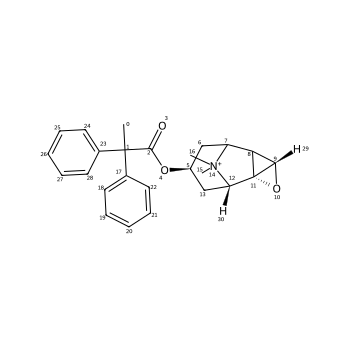 CC(C(=O)O[C@H]1CC2C3[C@@H]4O[C@]34[C@H](C1)[N+]2(C)C)(c1ccccc1)c1ccccc1